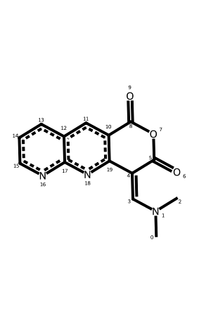 CN(C)C=C1C(=O)OC(=O)c2cc3cccnc3nc21